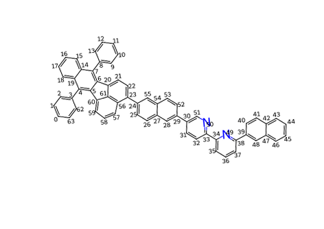 c1ccc(-c2c3c(c(-c4ccccc4)c4ccccc24)-c2ccc(-c4ccc5cc(-c6ccc(-c7cccc(-c8ccc9ccccc9c8)n7)nc6)ccc5c4)c4cccc-3c24)cc1